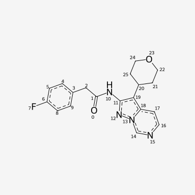 O=C(Cc1ccc(F)cc1)Nc1nn2cnccc2c1C1CCOCC1